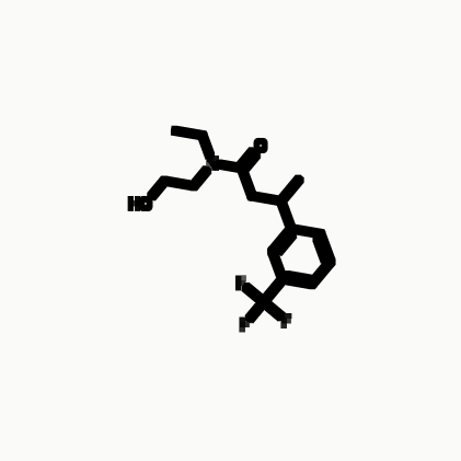 CCN(CCO)C(=O)CC(C)c1cccc(C(F)(F)F)c1